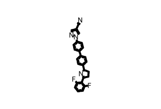 N#Cc1cnn(-c2ccc(-c3ccc(C4CCC(c5c(F)cccc5F)=N4)cc3)cc2)c1